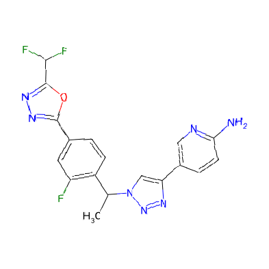 CC(c1ccc(-c2nnc(C(F)F)o2)cc1F)n1cc(-c2ccc(N)nc2)nn1